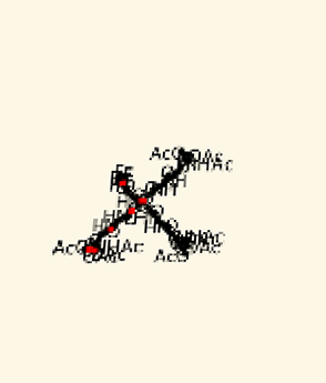 CC(=O)N[C@H]1C(OC(C)=O)CC(COC(C)=O)O[C@H]1OCCCCC(=O)NCCCNC(=O)CCOCC(COCCC(=O)NCCCNC(=O)CCCCO[C@@H]1OC(COC(C)=O)[C@H](OC(C)=O)C(OC(C)=O)[C@@H]1NC(C)=O)(COCCC(=O)NCCCNC(=O)CCCCO[C@@H]1OC(COC(C)=O)[C@H](OC(C)=O)C(OC(C)=O)[C@@H]1NC(C)=O)NC(=O)CCCC(=O)Oc1c(F)c(F)c(F)c(F)c1F